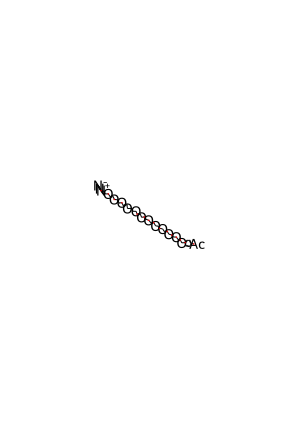 CC(=O)c1ccc(OCCOCCOCCOCCOCCOCCOCCOCCOCCOCCOCCOCCN=[N+]=[N-])cc1